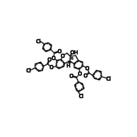 O=C(Oc1cc2c(cc1OC(=O)c1ccc(Cl)cc1)[C@@H]1c3ccc(OC(=O)c4ccc(Cl)cc4)c(OC(=O)c4ccc(Cl)cc4)c3OC[C@]1(O)C2)c1ccc(Cl)cc1